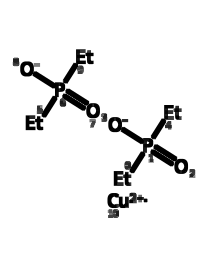 CCP(=O)([O-])CC.CCP(=O)([O-])CC.[Cu+2]